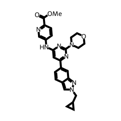 COC(=O)c1ccc(Nc2cc(-c3ccc4cn(CC5CC5)nc4c3)nc(N3CCOCC3)n2)cn1